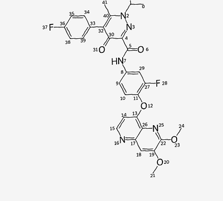 CCn1nc(C(=O)Nc2ccc(Oc3ccnc4cc(OC)c(OC)nc34)c(F)c2)c(=O)c(-c2ccc(F)cc2)c1C